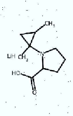 CC1CC1(C)N1CCCC1C(=O)O.[LiH]